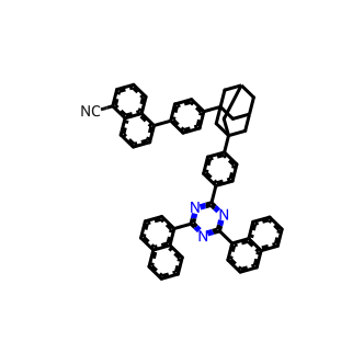 N#Cc1cccc2c(-c3ccc(C45CC6CC(CC(c7ccc(-c8nc(-c9cccc%10ccccc9%10)nc(-c9cccc%10ccccc9%10)n8)cc7)(C6)C4)C5)cc3)cccc12